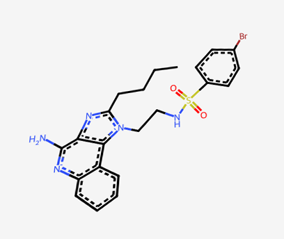 CCCCc1nc2c(N)nc3ccccc3c2n1CCNS(=O)(=O)c1ccc(Br)cc1